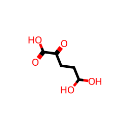 O=C(O)C(=O)CCC(O)O